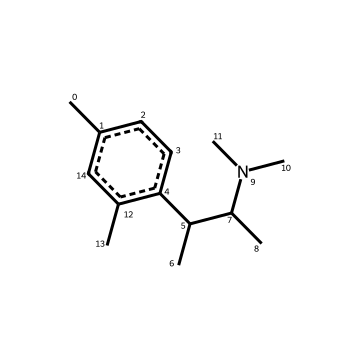 Cc1ccc(C(C)C(C)N(C)C)c(C)c1